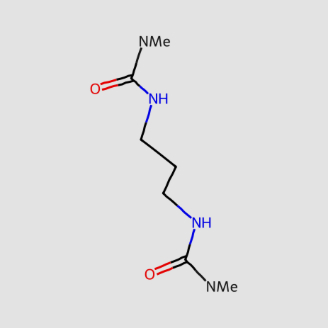 CNC(=O)NCCCNC(=O)NC